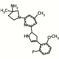 COc1cccc(F)c1C1=CNC(c2cc(C)cc(N3CCC(C)(N)C3)n2)C1